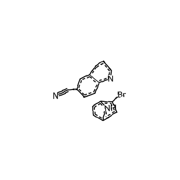 Brc1cc2ccc1[nH]2.N#Cc1ccc2ncccc2c1